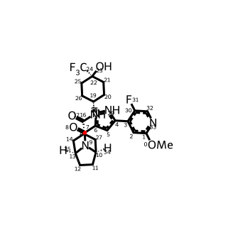 COc1cc(-c2cc(C(=O)N3[C@@H]4CC[C@H]3C[C@H](C(=O)N[C@H]3CC[C@@](O)(C(F)(F)F)CC3)C4)n[nH]2)c(F)cn1